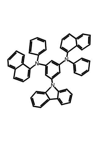 c1ccc(N(c2cc(N(c3ccccc3)c3cccc4ccccc34)cc(-n3c4ccccc4c4ccccc43)c2)c2cccc3ccccc23)cc1